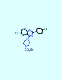 CCOC(=O)N1CCN(c2nc(-c3ccc(Cl)cc3)nc3ccc(Cl)cc23)CC1